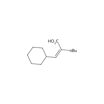 CCCC/C(=C/C1CCCCC1)C(=O)O